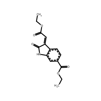 CCOC(=O)C=C1C(=O)Nc2cc(C(=O)OCC)ccc21